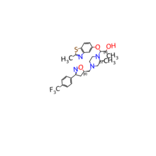 Cc1nc2cc(OC([C@@H](C)O)N3CCN(C[C@H]4CC(c5ccc(C(F)(F)F)cc5)=NO4)C[C@@H]3C)ccc2s1